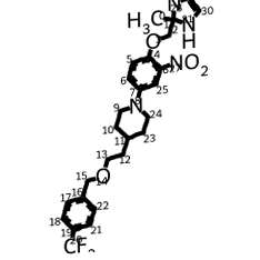 CC1(COc2ccc(N3CCC(CCOCc4ccc(C(F)(F)F)cc4)CC3)cc2[N+](=O)[O-])NC=CN1